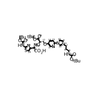 CC(C)(C)OC(=O)NCCC[n+]1ccn(-c2ccc(OC[C@H](O/N=C(\C(=O)O)c3csc(NC(=O)OC(C)(C)C)n3)C(=O)OC(C)(C)C)cn2)c1